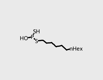 CCCCCCCCCCCCSP(O)S